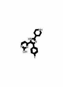 Oc1nccc(-c2[nH]c(C3CCNCC3)nc2-c2ccc(F)cc2)n1